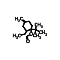 C=C1CCC(OC=O)(C(C)(C)C)C(CC)C1